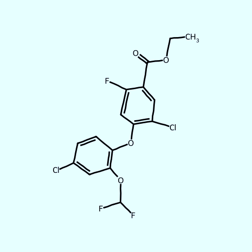 CCOC(=O)c1cc(Cl)c(Oc2ccc(Cl)cc2OC(F)F)cc1F